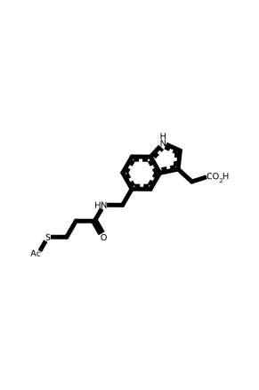 CC(=O)SCCC(=O)NCc1ccc2[nH]cc(CC(=O)O)c2c1